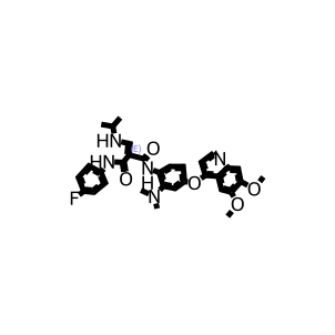 COc1cc2nccc(Oc3ccc(NC(=O)/C(=C/NC(C)C)C(=O)Nc4ccc(F)cc4)c(N(C)C)c3)c2cc1OC